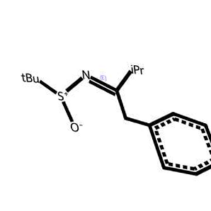 CC(C)/C(Cc1ccccc1)=N/[S+]([O-])C(C)(C)C